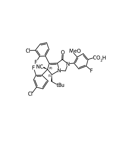 COc1cc(C(=O)O)c(F)cc1N1CN2C(=C(c3cccc(Cl)c3F)[C@@](C#N)(c3ccc(Cl)cc3F)[C@@H]2CC(C)(C)C)C1=O